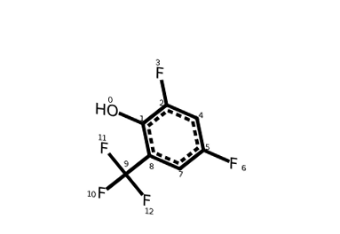 Oc1c(F)cc(F)cc1C(F)(F)F